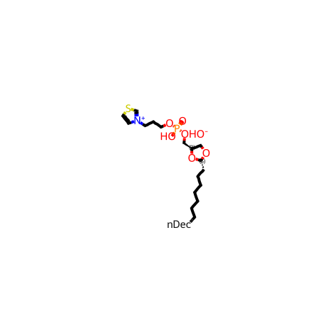 CCCCCCCCCCCCCCCCC[C@H]1OC[C@H](COP(=O)(O)OCCC[n+]2ccsc2)O1.[OH-]